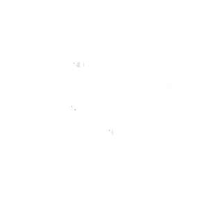 NC(=O)C(Nc1cncc(-c2cc(Cl)ccc2F)c1)c1ccccc1